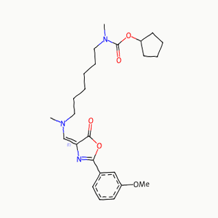 COc1cccc(C2=N/C(=C/N(C)CCCCCCN(C)C(=O)OC3CCCC3)C(=O)O2)c1